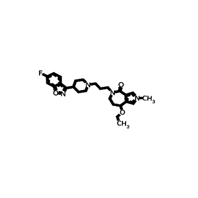 CCOC1CCN(CCCN2CCC(c3noc4cc(F)ccc34)CC2)C(=O)c2cn(C)cc21